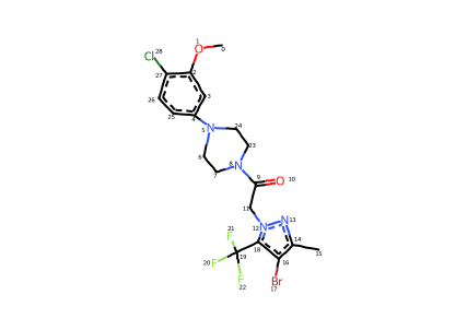 COc1cc(N2CCN(C(=O)Cn3nc(C)c(Br)c3C(F)(F)F)CC2)ccc1Cl